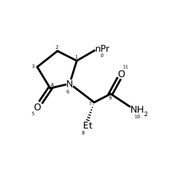 CCCC1CCC(=O)N1[C@@H](CC)C(N)=O